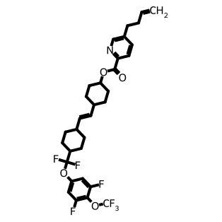 C=CCCc1ccc(C(=O)OC2CCC(/C=C/C3CCC(C(F)(F)Oc4cc(F)c(OC(F)(F)F)c(F)c4)CC3)CC2)nc1